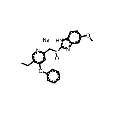 CCc1cnc(C[S+]([O-])c2nc3cc(OC)ccc3[nH]2)cc1Oc1ccccc1.[Na]